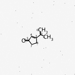 C=C(C)C1=CC(=O)CC1